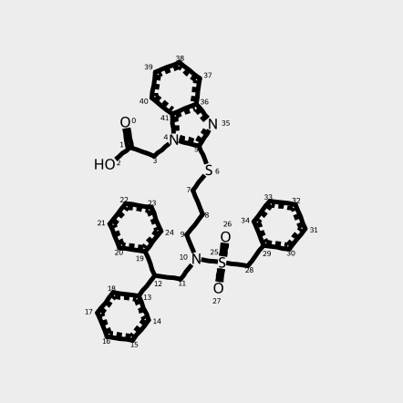 O=C(O)Cn1c(SCCCN(CC(c2ccccc2)c2ccccc2)S(=O)(=O)Cc2ccccc2)nc2ccccc21